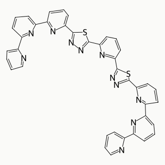 c1ccc(-c2cccc(-c3cccc(-c4nnc(-c5cccc(-c6nnc(-c7cccc(-c8cccc(-c9ccccn9)n8)n7)s6)n5)s4)n3)n2)nc1